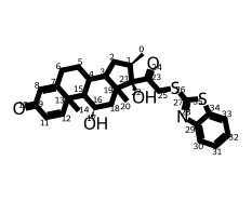 C[C@@H]1CC2C3CCC4=CC(=O)C=CC4(C)C3[C@@H](O)CC2(C)[C@@]1(O)C(=O)CSc1nc2ccccc2s1